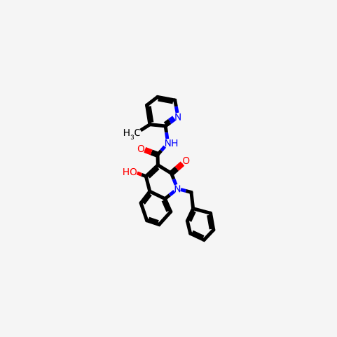 Cc1cccnc1NC(=O)c1c(O)c2ccccc2n(Cc2ccccc2)c1=O